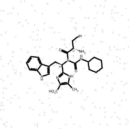 Cc1[nH]c([C@@H](Cc2c[nH]c3ccccc23)N(C(=O)NC2CCCCC2)C(=O)[C@@H](N)CC(C)C)nc1C(=O)O